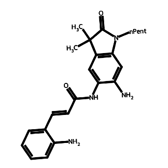 CCCCCN1C(=O)C(C)(C)c2cc(NC(=O)C=Cc3ccccc3N)c(N)cc21